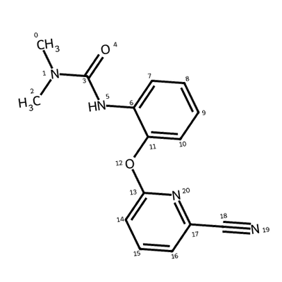 CN(C)C(=O)Nc1ccccc1Oc1cccc(C#N)n1